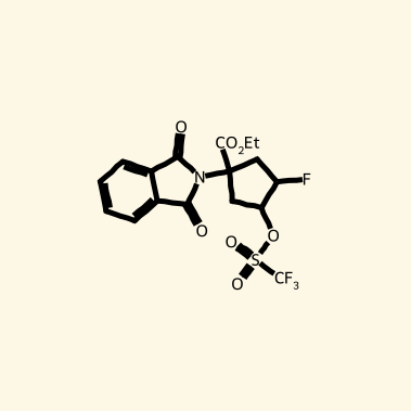 CCOC(=O)C1(N2C(=O)c3ccccc3C2=O)CC(F)C(OS(=O)(=O)C(F)(F)F)C1